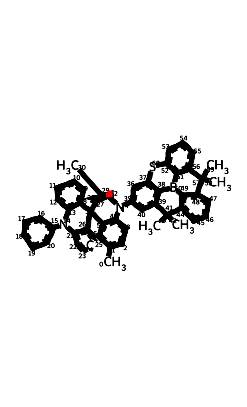 Cc1ccc2c(c1)C1(c3ccccc3N(c3ccccc3)c3ccccc31)c1cc(C)ccc1N2c1cc2c3c(c1)C(C)(C)c1cccc4c1B3c1c(cccc1C4(C)C)S2